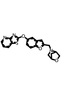 c1cnc2nc(Oc3ccc4oc(CN5CC6CC5CO6)cc4c3)sc2c1